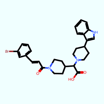 O=C(O)C(C1CCN(C(=O)C=Cc2cccc(Br)c2)CC1)N1CCC(c2c[nH]c3ccccc23)CC1